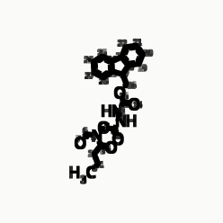 CCCC(=O)N(C=O)OC(=O)NNC(=O)OCC1c2ccccc2-c2ccccc21